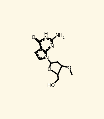 COC1CC(n2ccc3c(=O)[nH]c(N)nc32)OC1CO